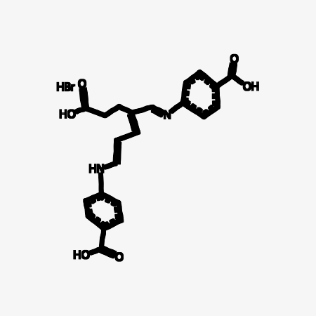 Br.O=C(O)CCC(C=Nc1ccc(C(=O)O)cc1)=C/C=C/Nc1ccc(C(=O)O)cc1